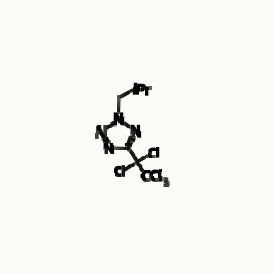 CC(C)Cn1nnc(C(Cl)(Cl)C(Cl)(Cl)Cl)n1